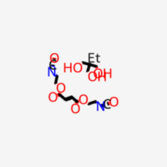 CCC(CO)(CO)CO.O=C=NCCOC(=O)C=CC(=O)OCCN=C=O